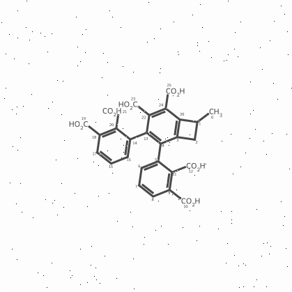 CC1Cc2c(-c3cccc(C(=O)O)c3C(=O)O)c(-c3cccc(C(=O)O)c3C(=O)O)c(C(=O)O)c(C(=O)O)c21